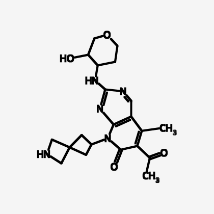 CC(=O)c1c(C)c2cnc(NC3CCOCC3O)nc2n(C2CC3(CNC3)C2)c1=O